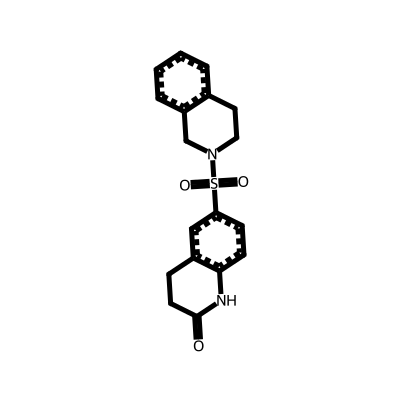 O=C1CCc2cc(S(=O)(=O)N3CCc4ccccc4C3)ccc2N1